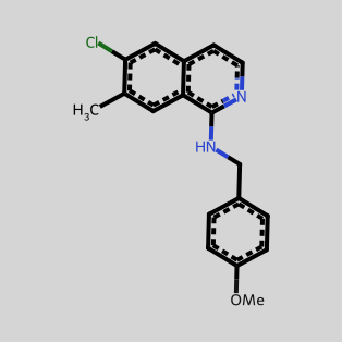 COc1ccc(CNc2nccc3cc(Cl)c(C)cc23)cc1